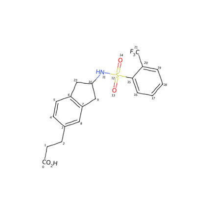 O=C(O)CCc1ccc2c(c1)CC(NS(=O)(=O)c1ccccc1C(F)(F)F)C2